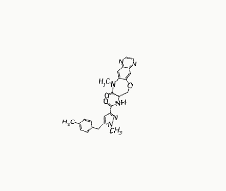 Cc1ccc(Cc2cc(C(=O)NC3COc4cc5nccnc5cc4N(C)C3=O)nn2C)cc1